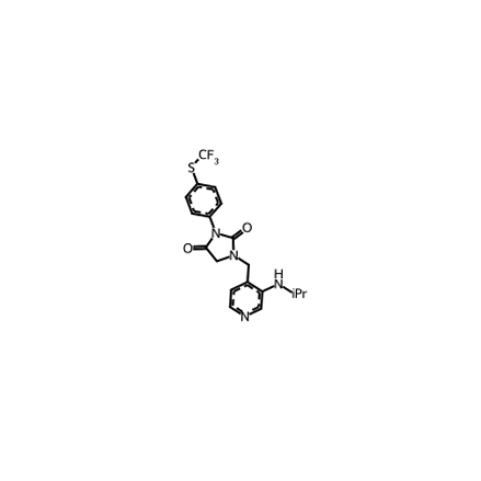 CC(C)Nc1cnccc1CN1CC(=O)N(c2ccc(SC(F)(F)F)cc2)C1=O